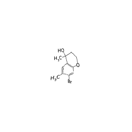 Cc1cc2c(cc1Br)OCCC2(C)O